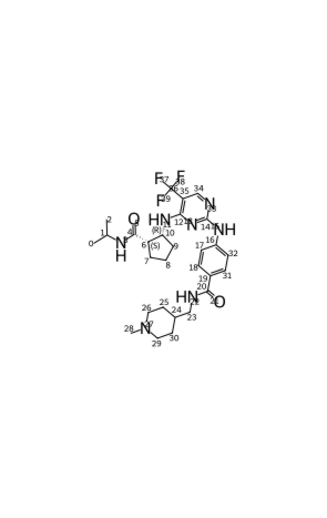 CC(C)NC(=O)[C@H]1CCC[C@H]1Nc1nc(Nc2ccc(C(=O)NCC3CCN(C)CC3)cc2)ncc1C(F)(F)F